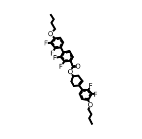 CCCCOc1ccc(C2=CCC(OC(=O)c3ccc(-c4ccc(OCCCC)c(F)c4F)c(F)c3F)CC2)c(F)c1F